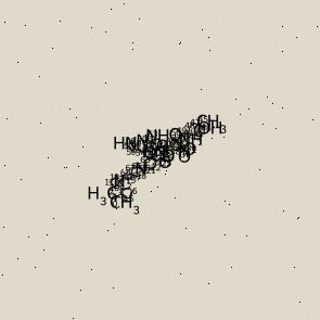 CC(C)c1ccccc1[C@@H]1CCCN1C1CC2(CCN(c3ccc(C(=O)NS(=O)(=O)c4cc5c(c([N+](=O)[O-])c4)N[C@@H]([C@H]4CC[C@](C)(O)CC4)CO5)c(Oc4cc5cc[nH]c5nc4C(N)=O)c3)CC2)C1